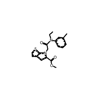 CCN(C(=O)Cn1c(C(=O)OC)cc2ccsc21)c1cccc(C)c1